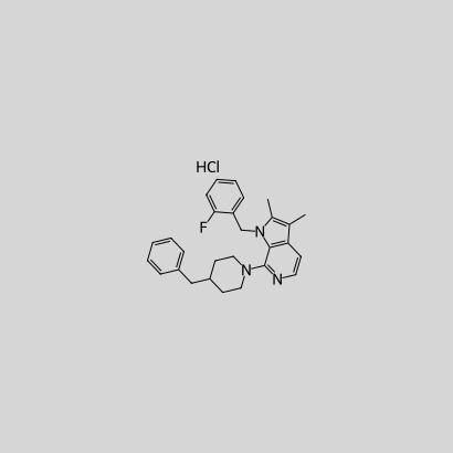 Cc1c(C)n(Cc2ccccc2F)c2c(N3CCC(Cc4ccccc4)CC3)nccc12.Cl